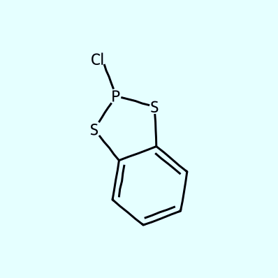 ClP1Sc2ccccc2S1